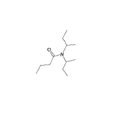 CCCC(=O)N(C(C)CC)C(C)CC